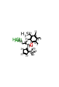 C[C](C)=[Ti]([O]c1c(C)c(C)c(C)c([SiH3])c1C)[C]1=C([Si](C)(C)C)C=CC1.Cl.Cl